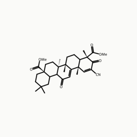 COC(=O)[C@]12CCC(C)(C)CC1C1C(=O)C=C3[C@@]4(C)C=C(C#N)C(=O)[C@@](C)(C(=O)OC)C4CC[C@@]3(C)[C@]1(C)CC2